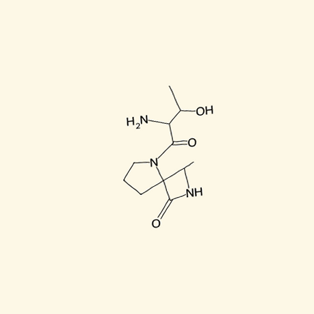 CC(O)C(N)C(=O)N1CCCC12C(=O)NC2C